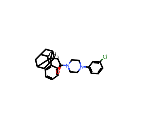 CC1C2CC3CC1CC(C2)C3(CC(=O)N1CCN(c2cccc(Cl)c2)CC1)c1ccccc1